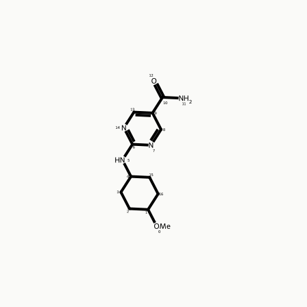 COC1CCC(Nc2ncc(C(N)=O)cn2)CC1